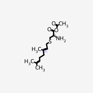 CC(=O)OC(=O)[C@@H](N)CSC/C=C(\C)CCC=C(C)C